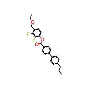 CCCc1ccc(-c2ccc(C(=O)Oc3ccc(COCC)c(F)c3F)cc2)cc1